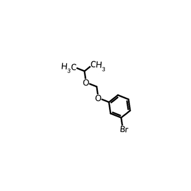 CC(C)OCOc1cccc(Br)c1